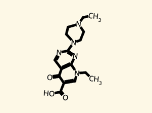 CCN1CCN(c2ncc3c(=O)c(C(=O)O)cn(CC)c3n2)CC1